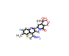 CC[C@@]1(O)COCc2c1cc1n(c2=O)Cc2c-1nc1cc(F)c(C)c3c1c2C(N)CS3